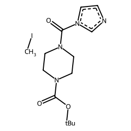 CC(C)(C)OC(=O)N1CCN(C(=O)n2ccnc2)CC1.CI